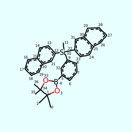 CC1(C)OB(c2cccc([Si](C)(c3ccc4ccccc4c3)c3ccc4ccccc4c3)c2)OC1(C)C